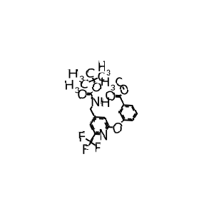 COC(=O)c1cccc(Oc2cc(CNC(=O)OC(C)(C)C)cc(C(F)(F)F)n2)c1